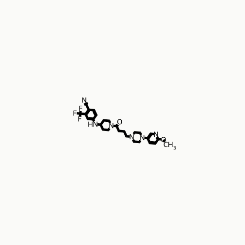 COc1ccc(N2CCN(CCCC(=O)N3CCC(Nc4ccc(C#N)c(C(F)(F)F)c4)CC3)CC2)cn1